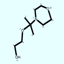 CC(C)(OCCO)N1CCOCC1